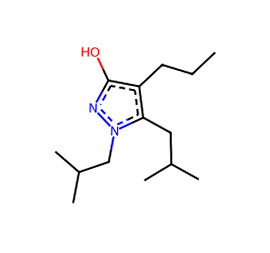 CCCc1c(O)nn(CC(C)C)c1CC(C)C